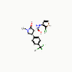 CN1C[C@H](c2ccc(C(F)(F)F)cc2)[C@@H](C(=O)Nc2ccsc2Cl)C1=O